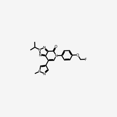 CC(C)n1nc2c(-c3cnn(C)c3)cn(-c3ccc(OCF)cc3)c(=O)c2n1